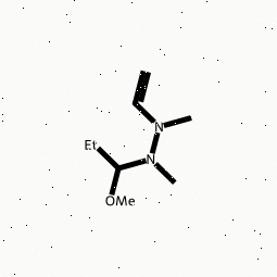 C=CN(C)N(C)C(CC)OC